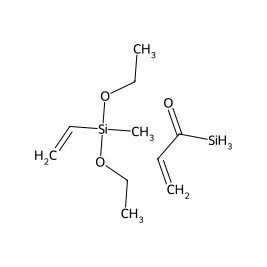 C=CC(=O)[SiH3].C=C[Si](C)(OCC)OCC